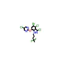 CC(F)(F)CCCn1nc(Cl)c2c(Cl)c(Br)cc(Oc3ncc(Cl)cn3)c21